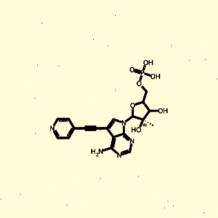 C[C@@]1(O)C(O)C(COP(=O)(O)O)OC1n1cc(C#Cc2ccncc2)c2c(N)ncnc21